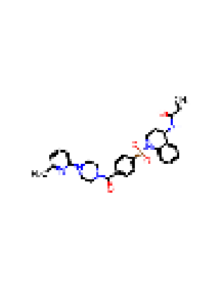 C=CC(=O)NC1CCN(S(=O)(=O)c2ccc(C(=O)N3CCN(c4cccc(C)n4)CC3)cc2)c2ccccc21